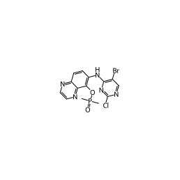 CP(C)(=O)Oc1c(Nc2nc(Cl)ncc2Br)ccc2nccnc12